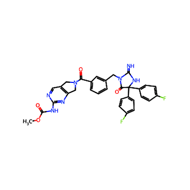 COC(=O)Nc1ncc2c(n1)CN(C(=O)c1cccc(CN3C(=N)NC(c4ccc(F)cc4)(c4ccc(F)cc4)C3=O)c1)C2